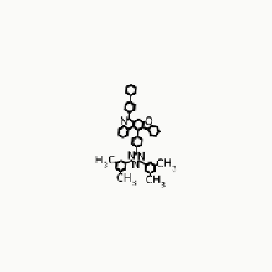 Cc1cc(C)cc(-c2nc(-c3ccc(-c4c5c(cc6c(-c7ccc(-c8ccccc8)cc7)nc7ccccc7c46)oc4ccccc45)cc3)nc(-c3cc(C)cc(C)c3)n2)c1